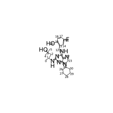 CC(CC(C)(C)O)Nc1nc(NCc2cc(F)ccc2O)c2ncn(C3CCCCC3)c2n1